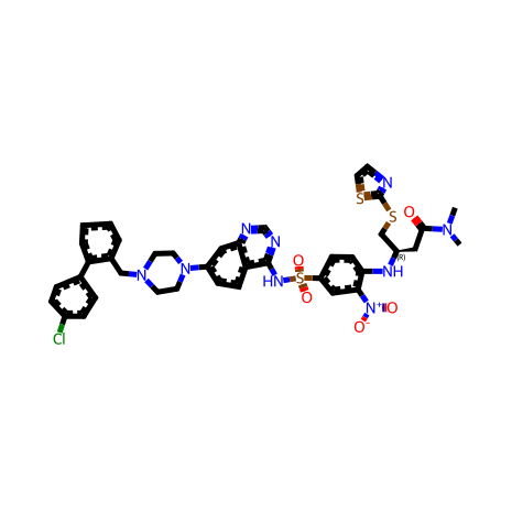 CN(C)C(=O)C[C@H](CSc1nccs1)Nc1ccc(S(=O)(=O)Nc2ncnc3cc(N4CCN(Cc5ccccc5-c5ccc(Cl)cc5)CC4)ccc23)cc1[N+](=O)[O-]